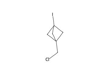 ClCC12CC(I)(C1)C2